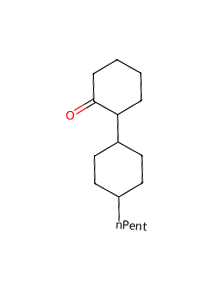 CCCCCC1CCC(C2CCCCC2=O)CC1